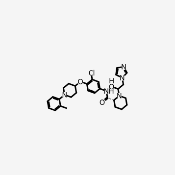 Cc1ccccc1N1CCC(Oc2ccc(NC(=O)[C@H]3CCCCN3C(O)Cn3ccnc3)cc2Cl)CC1